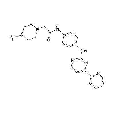 CN1CCN(CC(=O)Nc2ccc(Nc3nccc(-c4ccccn4)n3)cc2)CC1